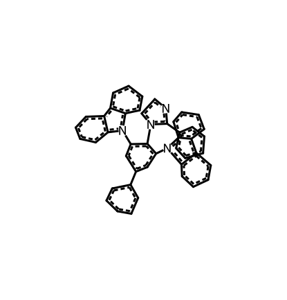 c1ccc(-c2cc(-n3c4ccccc4c4ccccc43)c(-n3ccnc3-c3ccccc3)c(-n3c4ccccc4c4ccccc43)c2)cc1